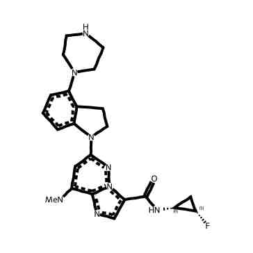 CNc1cc(N2CCc3c(N4CCNCC4)cccc32)nn2c(C(=O)N[C@@H]3C[C@@H]3F)cnc12